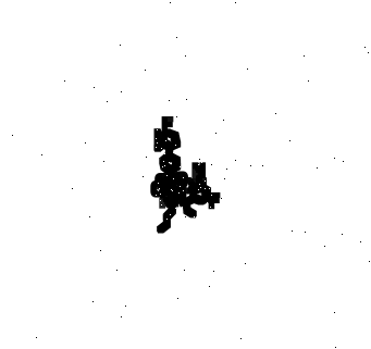 CCCCc1nc(=O)c(S(=O)(=O)c2ccc(-c3ccc(F)nc3C)cc2)c(O)n1C(CC)c1cc(F)cc(C#N)c1